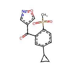 CS(=O)(=O)c1ccc(C2CC2)cc1C(=O)c1cnoc1